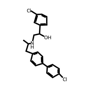 CC(Cc1ccc(-c2ccc(Cl)cc2)cc1)NCC(O)c1cccc(Cl)c1